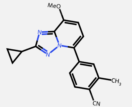 COc1ccc(-c2ccc(C#N)c(C)c2)n2nc(C3CC3)nc12